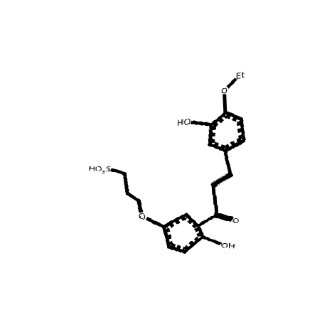 CCOc1ccc(CCC(=O)c2cc(OCCCS(=O)(=O)O)ccc2O)cc1O